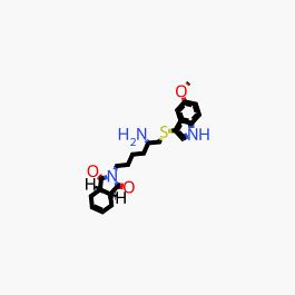 COc1ccc2[nH]cc(SCC(N)CCCCN3C(=O)[C@H]4CC=CC[C@H]4C3=O)c2c1